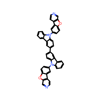 c1ccc2c(c1)c1cc(-c3ccc4c(c3)c3ccccc3n4-c3ccc4oc5cnccc5c4c3)ccc1n2-c1ccc2oc3cnccc3c2c1